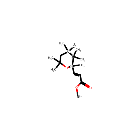 CCCOC(=O)C=C[Si]1(C)OC(C)(C)C[Si](C)(C)[Si]1(C)C